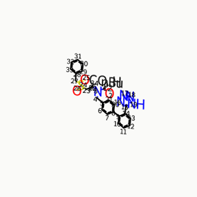 CCCCC(=O)N(Cc1ccc(-c2ccccc2-c2nnn[nH]2)cc1)[C@@H](CS(=O)(=O)Cc1ccccc1)C(=O)O